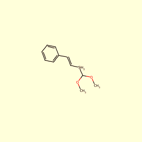 COC(OC)[SiH2]C=Cc1ccccc1